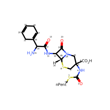 CCCCCSC(=O)NC1(C(=O)O)CS[C@@H]2C(NC(=O)C(N)C3=CCC=CC3)C(=O)N2C1